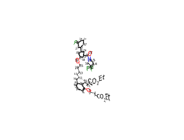 CCOC(=O)CCCOc1cccc(CCCCCCOc2cc(C(=O)N3CCC(F)(F)C3)cc(-c3cccc(F)c3)c2)c1CCC(=O)OCC